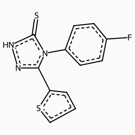 Fc1ccc(-n2c(-c3cccs3)n[nH]c2=S)cc1